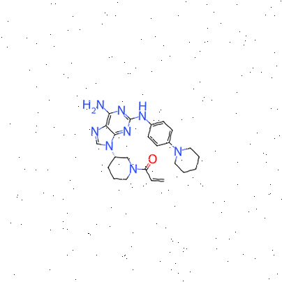 C=CC(=O)N1CCC[C@H](n2cnc3c(N)nc(Nc4ccc(N5CCCCC5)cc4)nc32)C1